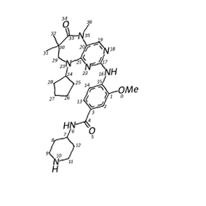 COc1cc(C(=O)NC2CCNCC2)ccc1Nc1ncc2c(n1)N(C1CCCC1)CC(C)(C)C(=O)N2C